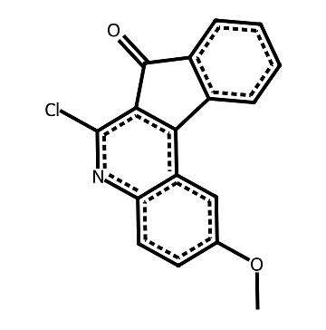 COc1ccc2nc(Cl)c3c(c2c1)-c1ccccc1C3=O